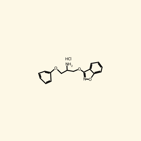 Cl.NC(COc1ccccc1)COc1noc2ccccc12